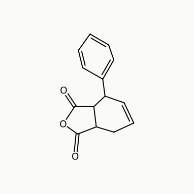 O=C1OC(=O)C2C1CC=CC2c1ccccc1